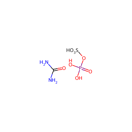 NC(N)=O.O=P(O)(O)OS(=O)(=O)O